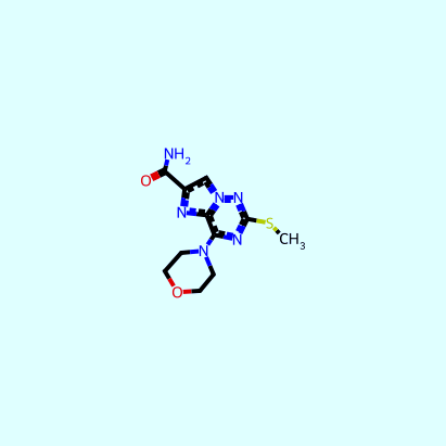 CSc1nc(N2CCOCC2)c2nc(C(N)=O)cn2n1